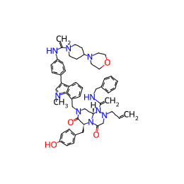 C=CCN1CC(=O)N2[C@@H](Cc3ccc(O)cc3)C(=O)N(Cc3cccc4c(-c5ccc(NC(=C)N6CCC(N7CCOCC7)CC6)cc5)cn(C)c34)C[C@@H]2N1C(=C)NCc1ccccc1